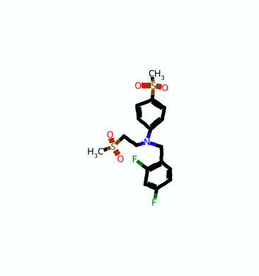 CS(=O)(=O)CCN(Cc1ccc(F)cc1F)c1ccc(S(C)(=O)=O)cc1